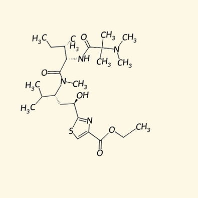 CCOC(=O)c1csc([C@H](O)C[C@H](C(C)C)N(C)C(=O)[C@@H](NC(=O)C(C)(C)N(C)C)[C@@H](C)CC)n1